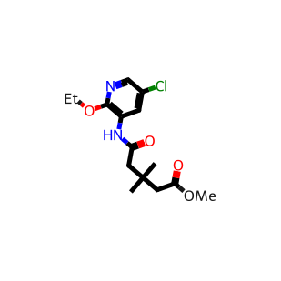 CCOc1ncc(Cl)cc1NC(=O)CC(C)(C)CC(=O)OC